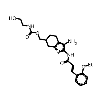 CCOc1ccccc1/C=C/C(=O)Nc1sc2c(c1N)CCC(COC(=O)NCCO)C2